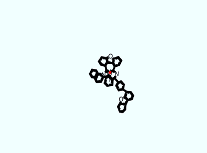 c1ccc(-c2nc(-c3ccc(-c4cccc5c4oc4ccccc45)cc3)nc(-c3cccc4oc5cccc(-c6nc7ccccc7n6-c6ccccc6)c5c34)n2)cc1